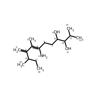 C=C(/C(C)=C(\N)CCC(O)C(O)C(C)C)C(C)CC